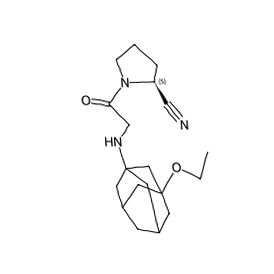 CCOC12CC3CC(CC(NCC(=O)N4CCC[C@H]4C#N)(C3)C1)C2